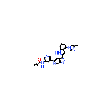 Cc1cn(-c2cccc3[nH]c(-c4n[nH]c5cnc(-c6cncc(NC(=O)C(C)C)c6)cc45)cc23)cn1